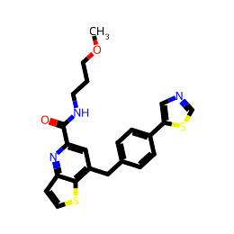 COCCCNC(=O)c1cc(Cc2ccc(-c3cncs3)cc2)c2sccc2n1